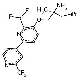 CC(C)C[C@](C)(N)COc1ccc(-c2ccnc(C(F)(F)F)c2)nc1C(F)F